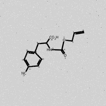 C=CCOC(=O)NC(Cc1ccc(C#N)cc1)C(=O)O